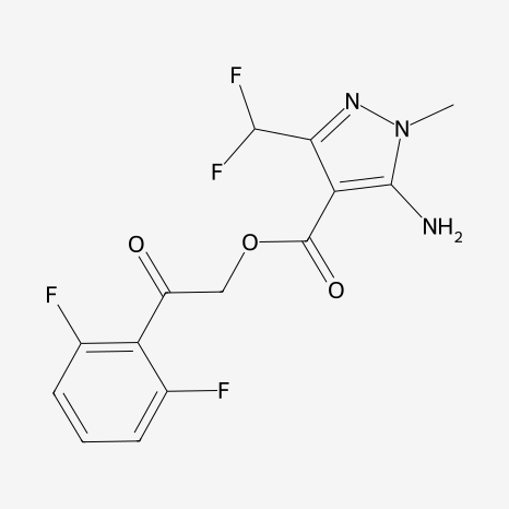 Cn1nc(C(F)F)c(C(=O)OCC(=O)c2c(F)cccc2F)c1N